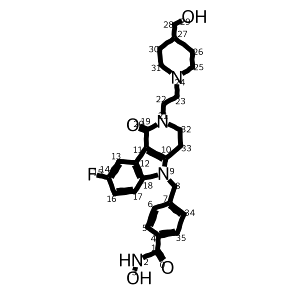 O=C(NO)c1ccc(Cn2c3c(c4cc(F)ccc42)C(=O)N(CCN2CCC(CO)CC2)CC3)cc1